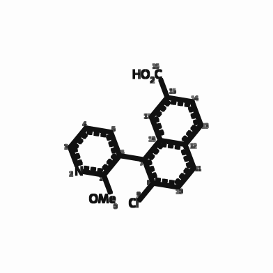 COc1ncccc1-c1c(Cl)ccc2ccc(C(=O)O)cc12